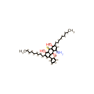 CCCCCCCCCc1cc(N)c2c(c1O)C(=S)c1c(O)c(CCCCCCCCC)cc(-c3ccccc3)c1C2=O